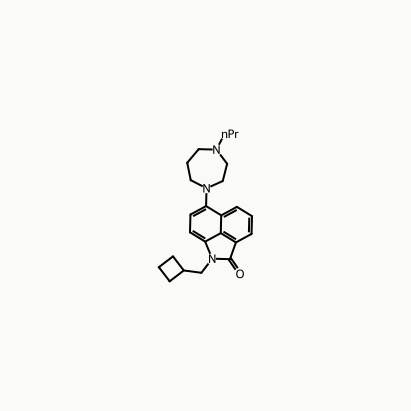 CCCN1CCCN(c2ccc3c4c(cccc24)C(=O)N3CC2CCC2)CC1